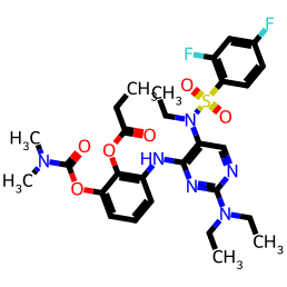 CCC(=O)Oc1c(Nc2nc(N(CC)CC)ncc2N(CC)S(=O)(=O)c2ccc(F)cc2F)cccc1OC(=O)N(C)C